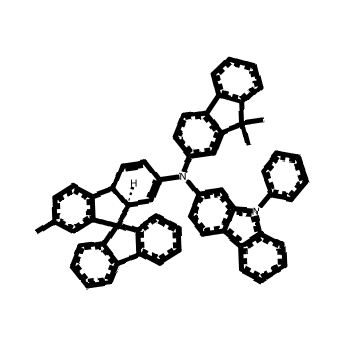 Cc1ccc2c(c1)C1(c3ccccc3-c3ccccc31)[C@@H]1C=C(N(c3ccc4c(c3)C(C)(C)c3ccccc3-4)c3ccc4c5ccccc5n(-c5ccccc5)c4c3)C=CC21